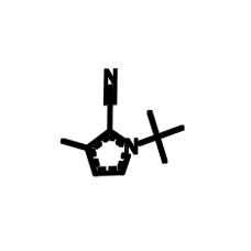 Cc1ccn(C(C)(C)C)c1C#N